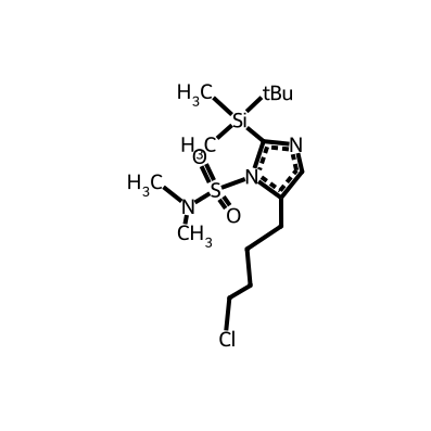 CN(C)S(=O)(=O)n1c(CCCCCl)cnc1[Si](C)(C)C(C)(C)C